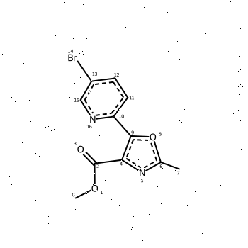 COC(=O)c1nc(C)oc1-c1ccc(Br)cn1